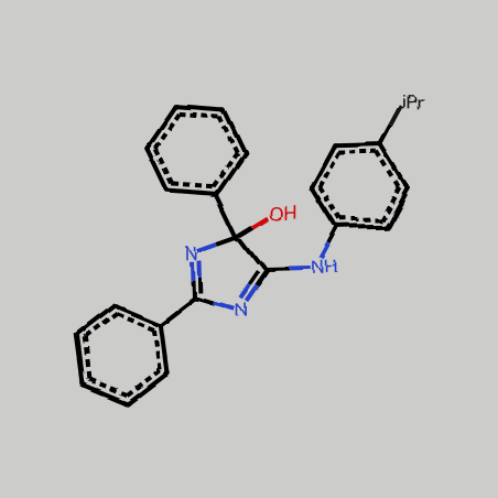 CC(C)c1ccc(NC2=NC(c3ccccc3)=NC2(O)c2ccccc2)cc1